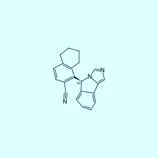 N#Cc1ccc2c(c1[C@@H]1c3ccccc3-c3cncn31)CCCC2